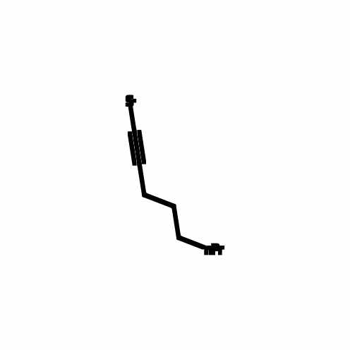 CCCCCCC#C[S]